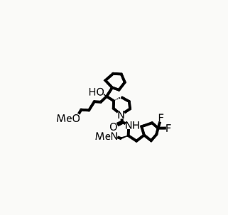 CNC[C@H](CC1CCC(F)(F)CC1)NC(=O)N1CCC[C@@H]([C@@](O)(CCCCOC)C2CCCCC2)C1